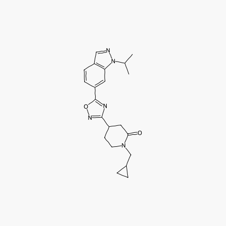 CC(C)n1ncc2ccc(-c3nc(C4CCN(CC5CC5)C(=O)C4)no3)cc21